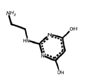 NCCNc1nc(O)cc(O)n1